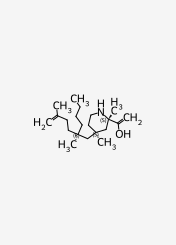 C=C(C)CC[C@@](C)(CCCC)C[C@@]1(C)CCN[C@](C)(C(=C)O)C1